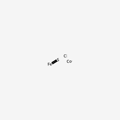 [C].[Co].[S]=[Fe]